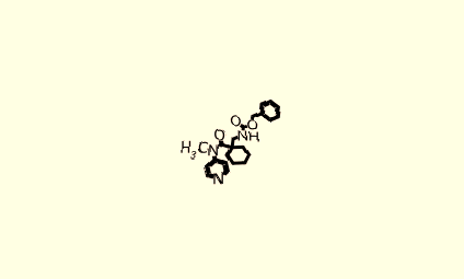 CN(C(=O)C1(CNC(=O)OCc2ccccc2)CCCCC1)c1ccncc1